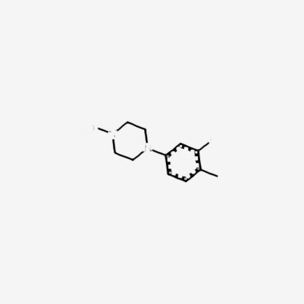 Cc1ccc(N2CCN(C(C)C)CC2)cc1Cl